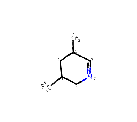 FC(F)(F)C1C=NCC(C(F)(F)F)C1